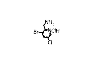 Cl.NCc1ncc(Cl)cc1Br